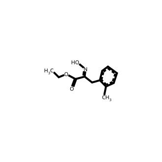 CCOC(=O)C(Cc1ccccc1C)=NO